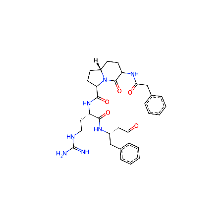 N=C(N)NCC[C@H](NC(=O)C1CC[C@@H]2CCC(NC(=O)Cc3ccccc3)C(=O)N12)C(=O)N[C@H](CC=O)Cc1ccccc1